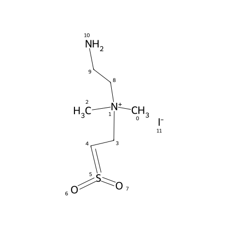 C[N+](C)(CC=S(=O)=O)CCN.[I-]